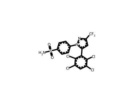 NS(=O)(=O)c1ccc(-n2nc(C(F)(F)F)cc2-c2c(Cl)c(Cl)cc(Cl)c2Cl)cc1